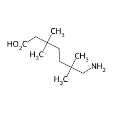 CC(C)(CN)CCC(C)(C)CC(=O)O